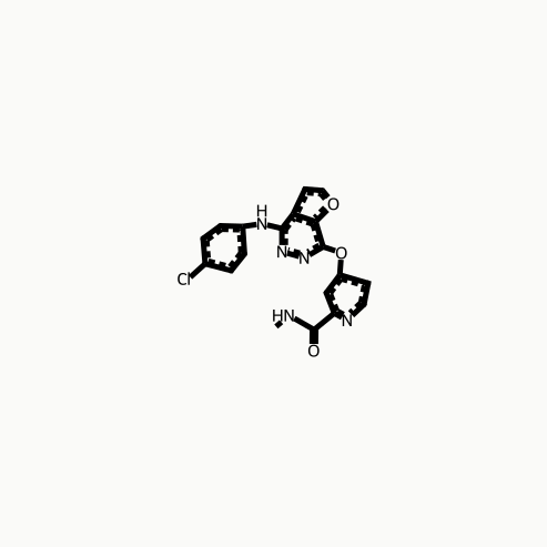 CNC(=O)c1cc(Oc2nnc(Nc3ccc(Cl)cc3)c3ccoc23)ccn1